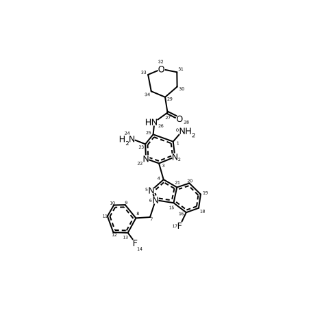 Nc1nc(-c2nn(Cc3ccccc3F)c3c(F)cccc23)nc(N)c1NC(=O)C1CCOCC1